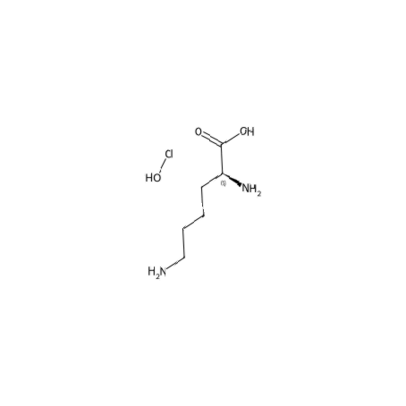 NCCCC[C@H](N)C(=O)O.OCl